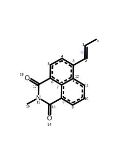 C/C=C/c1ccc2c3c(cccc13)C(=O)N(C)C2=O